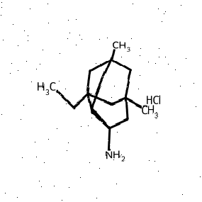 CCC12CC3(C)CC(C)(CC(N)(C3)C1)C2.Cl